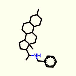 CC1CCC2C(CCC3C2CCC2(C)C(C(C)NCc4ccccc4)CCC32)C1